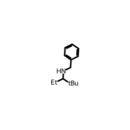 [CH2]CC(NCc1ccccc1)C(C)(C)C